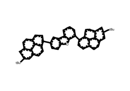 CC(C)(C)c1cc2ccc3ccc(-c4ccc5oc6c(-c7ccc8ccc9cc(C(C)(C)C)cc%10ccc7c8c9%10)cccc6c5c4)c4ccc(c1)c2c34